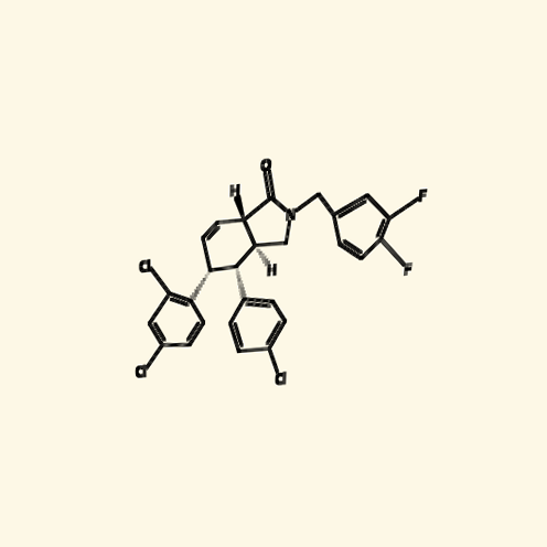 O=C1[C@H]2C=C[C@@H](c3ccc(Cl)cc3Cl)[C@@H](c3ccc(Cl)cc3)[C@@H]2CN1Cc1ccc(F)c(F)c1